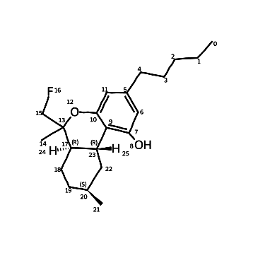 CCCCCc1cc(O)c2c(c1)OC(C)(CF)[C@@H]1CC[C@H](C)C[C@@H]21